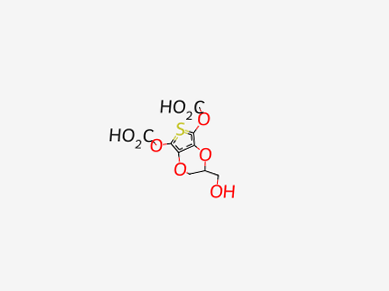 O=C(O)Oc1sc(OC(=O)O)c2c1OCC(CO)O2